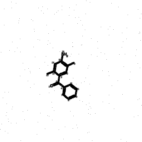 Cc1cc(C(=O)c2ccccc2)c(C)cc1N